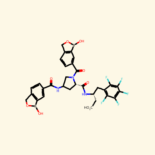 O=C(O)C[C@@H](Cc1c(F)c(F)c(F)c(F)c1F)NC(=O)[C@@H]1CC(NC(=O)c2ccc3c(c2)B(O)OC3)CN1C(=O)c1ccc2c(c1)B(O)OC2